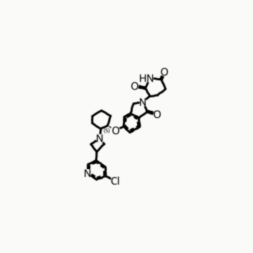 O=C1CCC(N2Cc3cc(O[C@H]4CCCCC4N4CC(c5cncc(Cl)c5)C4)ccc3C2=O)C(=O)N1